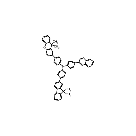 CC1(C)c2ccccc2Oc2ccc(-c3ccc(N(c4ccc(-c5ccc6c(c5)C(C)(C)c5ccccc5-6)cc4)c4ccc(-c5ccc6ccccc6c5)cc4)cc3)cc21